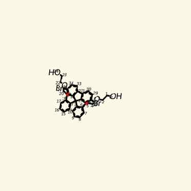 OCCOCCc1ccccc1C1(c2ccccc2CCOCCO)c2cc(Br)ccc2-c2ccc(Br)cc21